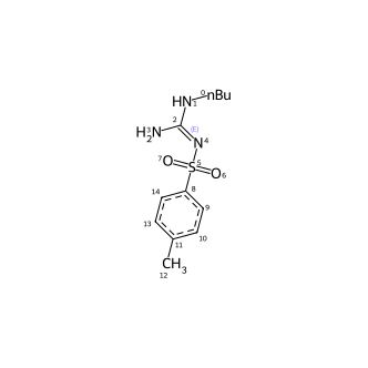 CCCCN/C(N)=N/S(=O)(=O)c1ccc(C)cc1